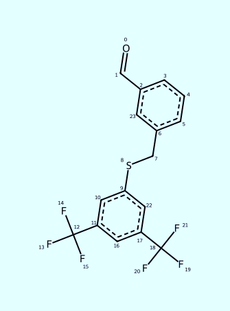 O=Cc1cccc(CSc2cc(C(F)(F)F)cc(C(F)(F)F)c2)c1